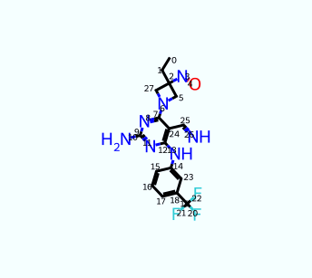 CCC1(N=O)CN(c2nc(N)nc(Nc3cccc(C(F)(F)F)c3)c2C=N)C1